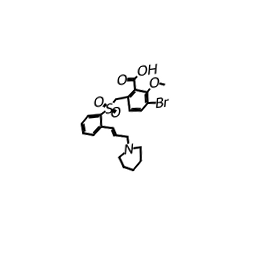 COc1c(Br)ccc(CS(=O)(=O)c2ccccc2C=CCN2CCCCC2)c1C(=O)O